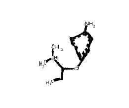 C=CC(Oc1ccc(N)cc1)[SiH](C)C